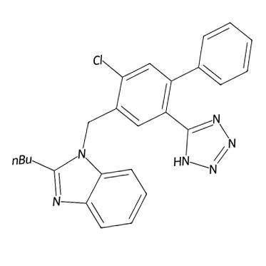 CCCCc1nc2ccccc2n1Cc1cc(-c2nnn[nH]2)c(-c2ccccc2)cc1Cl